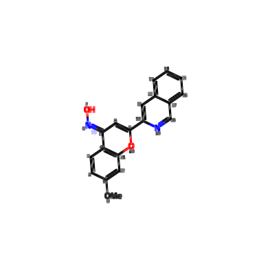 COc1ccc2/c(=N/O)cc(-c3cc4ccccc4cn3)oc2c1